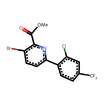 COC(=O)c1nc(-c2ccc(C(F)(F)F)cc2Cl)ccc1Br